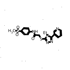 CCn1c(SCC(=O)Nc2ccc(S(C)(=O)=O)cc2)nnc1-c1cccnc1